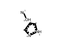 [OH][Ni].c1cn[nH]c1